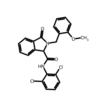 COc1ccccc1CN1C(=O)c2ccccc2C1C(=O)Nc1c(Cl)cccc1Cl